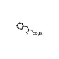 CCOC(=O)CC(=S)Cc1ccccc1